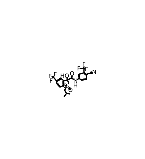 CC(C)CS(=O)(=O)CC(O)(C(=O)Nc1ccc(C#N)c(C(F)(F)F)c1)c1cccc(C(F)(F)F)c1